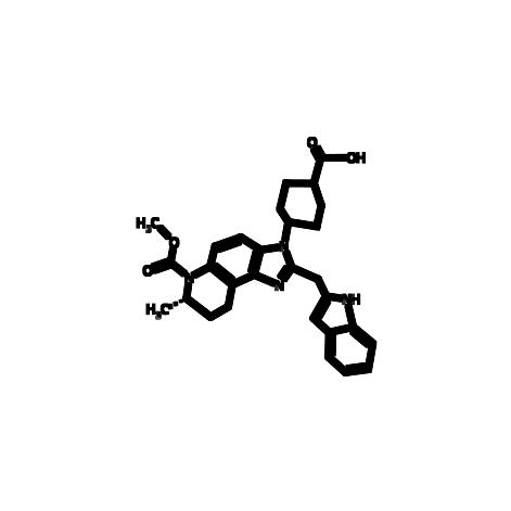 COC(=O)N1c2ccc3c(nc(Cc4cc5ccccc5[nH]4)n3C3CCC(C(=O)O)CC3)c2CC[C@@H]1C